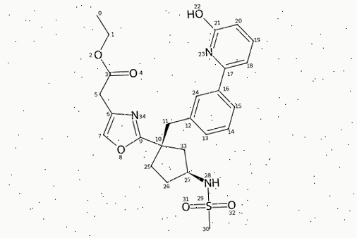 CCOC(=O)Cc1coc([C@@]2(Cc3cccc(-c4cccc(O)n4)c3)CC[C@H](NS(C)(=O)=O)C2)n1